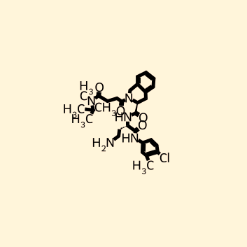 Cc1cc(NC(=O)[C@H](CCN)NC(=O)[C@@H]2Cc3ccccc3CN2C(=O)CCC(=O)N(C)C(C)(C)C)ccc1Cl